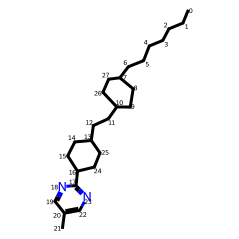 CCCCCCCC1CCC(CCC2CCC(c3ncc(C)cn3)CC2)CC1